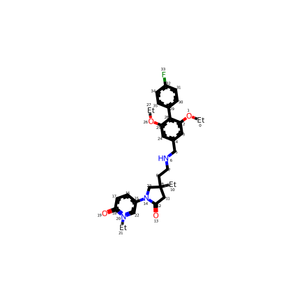 CCOc1cc(CNCCC2(CC)CC(=O)N(c3ccc(=O)n(CC)c3)C2)cc(OCC)c1-c1ccc(F)cc1